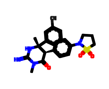 CN1C(=N)N[C@](C)(c2cccc(C#N)c2)[C@H](c2ccc(N3CCCS3(=O)=O)cc2)C1=O